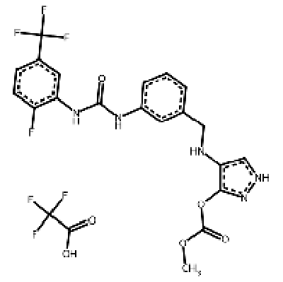 COC(=O)Oc1n[nH]cc1NCc1cccc(NC(=O)Nc2cc(C(F)(F)F)ccc2F)c1.O=C(O)C(F)(F)F